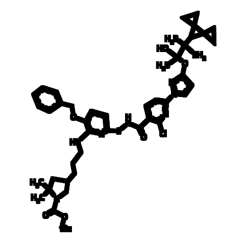 BC(O)(Oc1ccn(-c2ccc(C(=O)NSc3ccc(OCc4ccccc4)c(NCCCC4CN(C(=O)OC(C)(C)C)C(C)(C)C4)n3)c(Cl)n2)n1)C(B)(B)C1C2(CC2)C12CC2